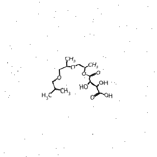 CC(C)COCC(C)OCC(C)OC(=O)C(O)C(O)C(=O)O